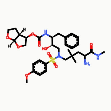 CNC(=O)C(N)CC(C)(C)CN(C[C@H](O)[C@H](Cc1ccccc1)NC(=O)O[C@H]1CO[C@H]2OCC[C@H]21)S(=O)(=O)c1ccc(OC)cc1